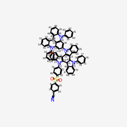 N#Cc1ccc(S(=O)(=O)c2ccc(-n3c4c(c5ccccc53)-c3c(c5ccccc5n3-c3cc5c6c(c3)N(c3ccccc3)c3ccccc3B6c3ccccc3N5c3ccccc3)C3C4c4ccccc4N3c3ccccc3)cc2)cc1